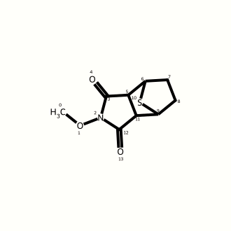 CON1C(=O)C2C3CCC(S3)C2C1=O